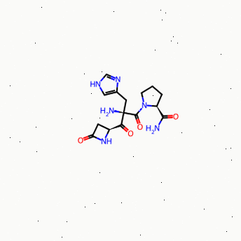 NC(=O)[C@@H]1CCCN1C(=O)[C@@](N)(Cc1c[nH]cn1)C(=O)[C@@H]1CC(=O)N1